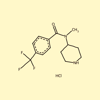 CN(C(=O)c1ccc(C(F)(F)F)cc1)C1CCNCC1.Cl